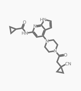 N#CC1(CC(=O)N2CCN(c3cc(NC(=O)C4CC4)nc4[nH]ccc34)CC2)CC1